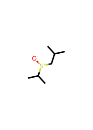 CC(C)C[S+]([O-])C(C)C